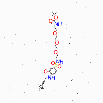 COc1cc(S(=O)(=O)NCCOCCOCCOCCNC(=O)OC(C)(C)C)ccc1NCC#C[Si](C)(C)C